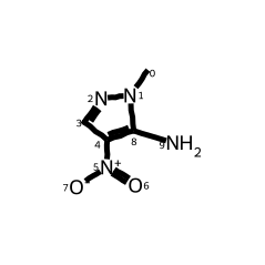 Cn1ncc([N+](=O)[O-])c1N